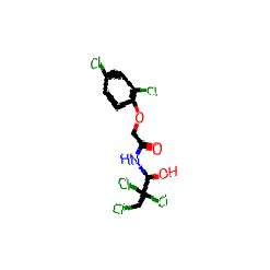 O=C(COc1ccc(Cl)cc1Cl)NC(O)C(Cl)(Cl)CCl